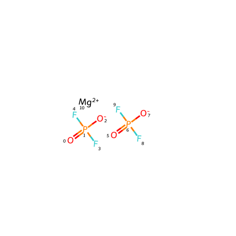 O=P([O-])(F)F.O=P([O-])(F)F.[Mg+2]